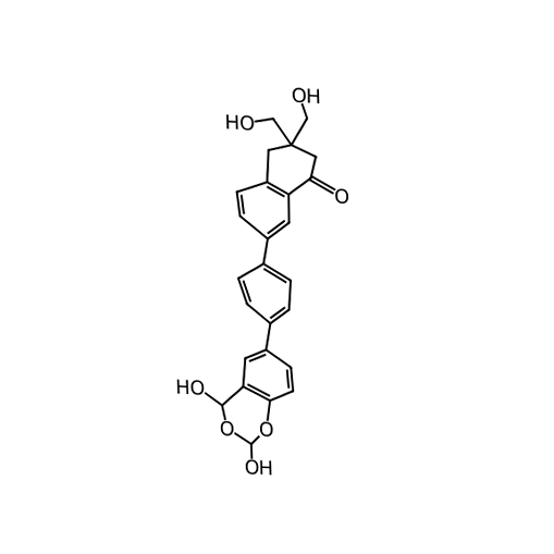 O=C1CC(CO)(CO)Cc2ccc(-c3ccc(-c4ccc5c(c4)C(O)OC(O)O5)cc3)cc21